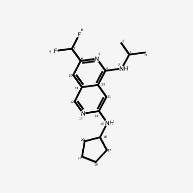 CC(C)Nc1nc(C(F)F)cc2cnc(NC3CCCC3)cc12